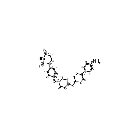 Nc1ccc(N2CCC(CN3CCC(Oc4ccc(C5CCC(=O)NC5=O)cc4)CC3)CC2)cc1